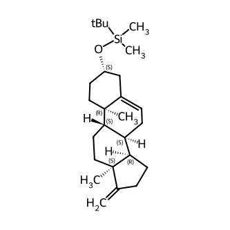 C=C1CC[C@@H]2[C@@H]3CC=C4C[C@@H](O[Si](C)(C)C(C)(C)C)CC[C@]4(C)[C@H]3CC[C@]12C